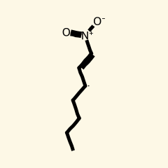 CCCC[CH]C=C[N+](=O)[O-]